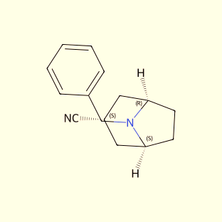 N#C[C@@H]1C[C@H]2CC[C@@H](C1)N2Cc1ccccc1